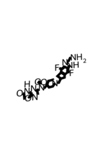 NCc1nc2c(F)c3c(c(F)c2[nH]1)CC(CN1CCC2(CC1)CN(c1cnc4c(n1)NC(=O)CO4)C(=O)O2)C3